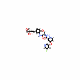 CN1C(=O)[C@@H](NC(=O)c2cc(Oc3cncc(F)c3)ccn2)COc2ccc(C#CC3(O)COC3)cc21